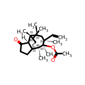 C=C[C@]1(C)C[C@H](C)[C@]2(C)C(C)CC[C@]3(CCC(=O)[C@H]32)[C@@H](C)[C@]1(C)OC(C)=O